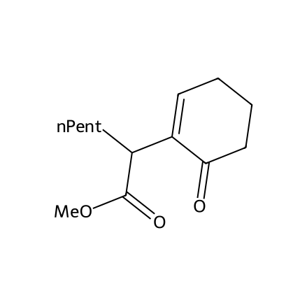 CCCCCC(C(=O)OC)C1=CCCCC1=O